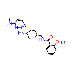 CCOc1ccccc1C(=O)NCC1CCC(Nc2nccc(N(C)C)n2)CC1